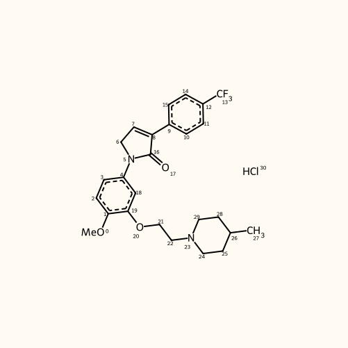 COc1ccc(N2CC=C(c3ccc(C(F)(F)F)cc3)C2=O)cc1OCCN1CCC(C)CC1.Cl